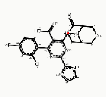 O=C(O)c1c(CN2C3CNC(=O)C2COC3)nc(-c2nccs2)nc1-c1ccc(F)cc1Cl